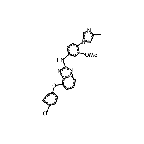 COc1cc(Nc2nc3c(Oc4ccc(Cl)cc4)cccn3n2)ccc1-n1cnc(C)c1